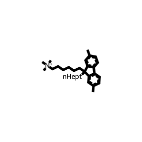 CCCCCCCC1(CCCCCC[N+](C)(C)C)c2cc(C)ccc2-c2ccc(C)cc21